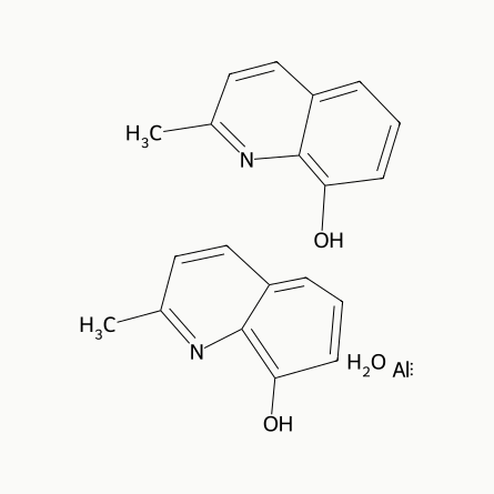 Cc1ccc2cccc(O)c2n1.Cc1ccc2cccc(O)c2n1.O.[Al]